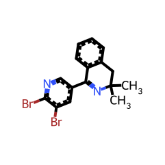 CC1(C)Cc2ccccc2C(c2cnc(Br)c(Br)c2)=N1